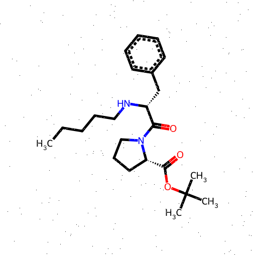 CCCCCN[C@H](Cc1ccccc1)C(=O)N1CCC[C@H]1C(=O)OC(C)(C)C